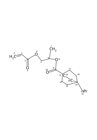 C=CC(=O)OCC(C)OC(=O)C12CCC(CCC)(CC1)CC2